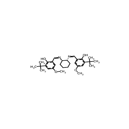 COc1cc(/C=N\[C@@H]2CCCC[C@H]2/N=C\c2cc(OC)cc(C(C)(C)C)c2O)c(O)c(C(C)(C)C)c1